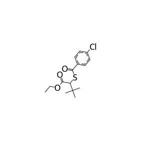 CCOC(=O)C(SC(=O)c1ccc(Cl)cc1)C(C)(C)C